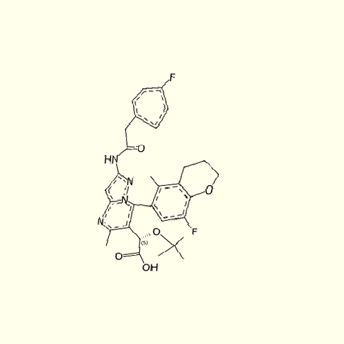 Cc1nc2cc(NC(=O)Cc3ccc(F)cc3)nn2c(-c2cc(F)c3c(c2C)CCCO3)c1[C@H](OC(C)(C)C)C(=O)O